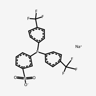 O=S(=O)([O-])c1cccc(P(c2ccc(C(F)(F)F)cc2)c2ccc(C(F)(F)F)cc2)c1.[Na+]